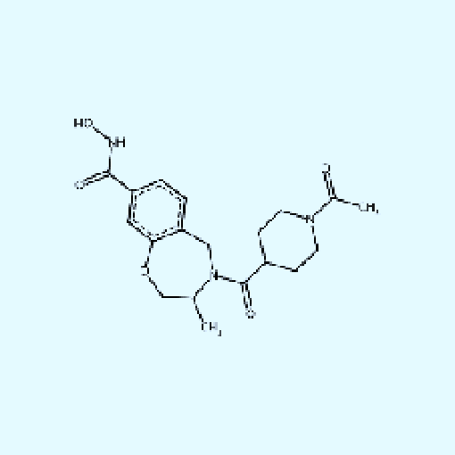 CC(=O)N1CCC(C(=O)N2Cc3ccc(C(=O)NO)cc3OCC2C)CC1